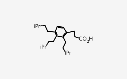 CC(C)CCc1ccc(CCC(=O)O)c(CCC(C)C)c1CCC(C)C